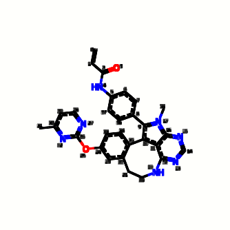 C=CC(=O)Nc1ccc(-c2c3c4c(ncnc4n2C)NCCc2cc(Oc4nccc(C)n4)ccc2-3)cc1